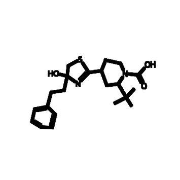 CC(C)(C)C1CC(C2=NC(O)(CCc3ccccc3)CS2)CCN1C(=O)O